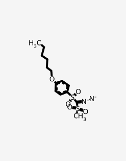 CCCCCCOc1ccc(S(=O)(=O)C(=[N+]=[N-])S(C)(=O)=O)cc1